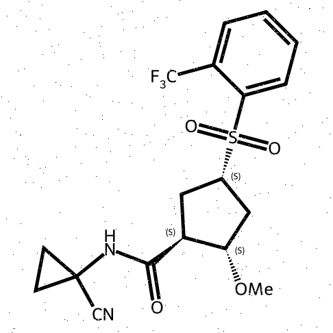 CO[C@H]1C[C@@H](S(=O)(=O)c2ccccc2C(F)(F)F)C[C@@H]1C(=O)NC1(C#N)CC1